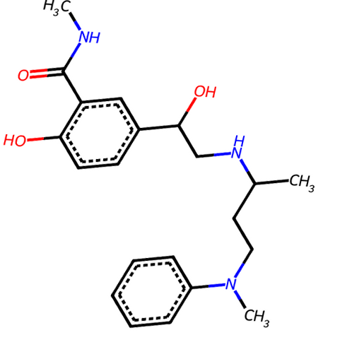 CNC(=O)c1cc(C(O)CNC(C)CCN(C)c2ccccc2)ccc1O